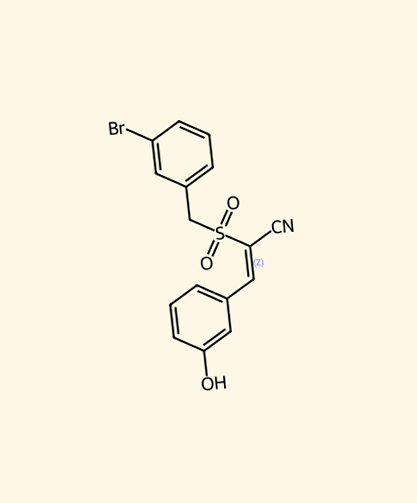 N#C/C(=C/c1cccc(O)c1)S(=O)(=O)Cc1cccc(Br)c1